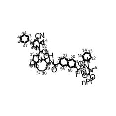 CCCOC(=O)[C@H](C)NP(=O)(Oc1ccccc1)C(F)c1ccc2ccc(C(=O)N[C@H]3CCCC[C@H]4CC[C@@H](C(=O)N5C[C@H](c6ccccc6)[C@@H](C#N)C56CC6)N4C3=O)cc2c1